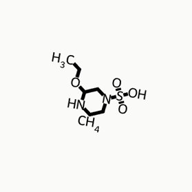 C.CCOC1CN(S(=O)(=O)O)CCN1